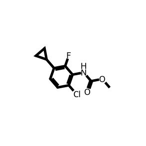 COC(=O)Nc1c(Cl)ccc(C2CC2)c1F